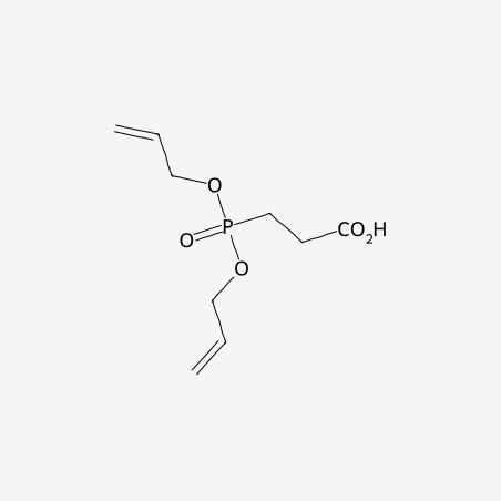 C=CCOP(=O)(CCC(=O)O)OCC=C